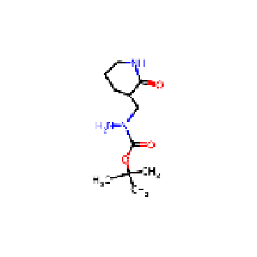 CC(C)(C)OC(=O)N(N)C[C@H]1CCCNC1=O